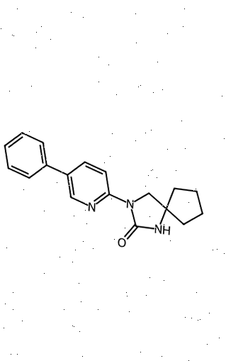 O=C1NC2(CCCC2)CN1c1ccc(-c2ccccc2)cn1